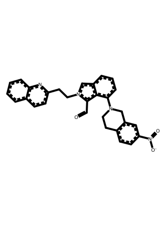 O=Cc1c2c(N3CCc4ccc([N+](=O)[O-])cc4C3)cccc2cn1CCc1ccc2ccccc2n1